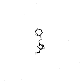 O=Cc1ncc(COC2CCCCO2)s1